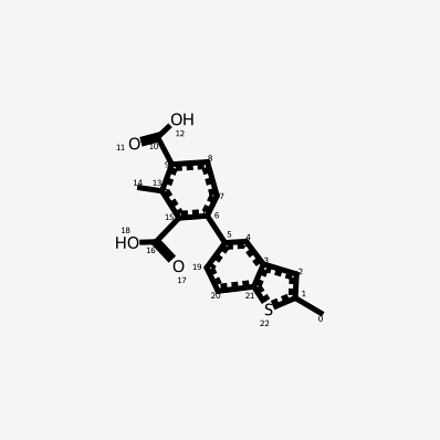 Cc1cc2cc(-c3ccc(C(=O)O)c(C)c3C(=O)O)ccc2s1